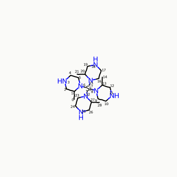 CC1CNCCN1[Si](N1CCNCC1C)(N1CCNCC1C)N1CCNCC1C